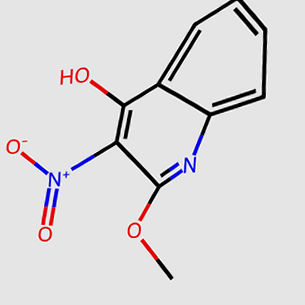 COc1nc2ccccc2c(O)c1[N+](=O)[O-]